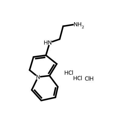 Cl.Cl.Cl.NCCNC1=CCN2C=CC=CC2=C1